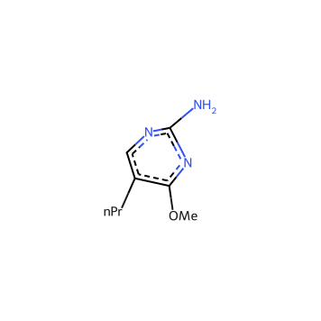 CCCc1cnc(N)nc1OC